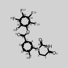 O=C1CCN(c2cc(C(=O)Oc3c(F)c(F)c(F)c(F)c3F)ccc2F)C(=O)N1